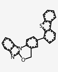 c1ccc2c(c1)nc1n2-c2ccc(-c3cccc4c3sc3ccccc34)cc2CO1